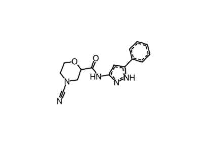 N#CN1CCOC(C(=O)Nc2cc(-c3ccccc3)[nH]n2)C1